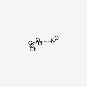 CCC(C)(C)OC(=O)C=CC(=O)OCCCCCCN1CCOCC1